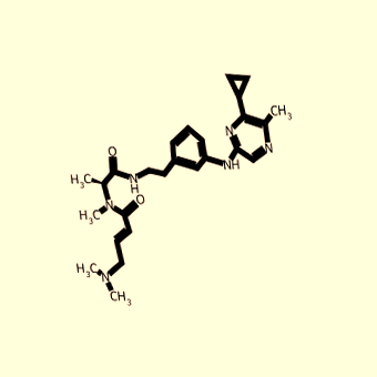 Cc1ncc(Nc2cccc(CCNC(=O)[C@H](C)N(C)C(=O)/C=C/CN(C)C)c2)nc1C1CC1